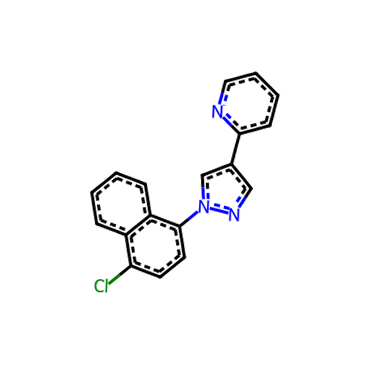 Clc1ccc(-n2cc(-c3ccccn3)cn2)c2ccccc12